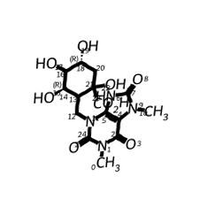 Cn1c(=O)c2c([nH]c(=O)n2C)n(CC2[C@@H](O)C(O)[C@H](O)CC2(O)C(=O)O)c1=O